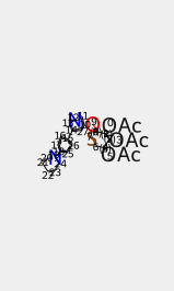 CC(=O)O[C@@H]1[C@@H](OC(C)=O)[C@H](OC(C)=O)CS[C@H]1Oc1cncc(-c2ccc(N3CCCCC3)cc2)c1